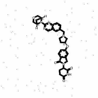 O=C1CCC(N2Cc3cc(O[C@H]4CCN(Cc5ccc6nc(N7[C@@H]8COC[C@H]7C8)ncc6c5)C4)ccc3C2=O)C(=O)N1